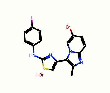 Br.Cc1nc2ccc(Br)cn2c1-c1csc(Nc2ccc(I)cc2)n1